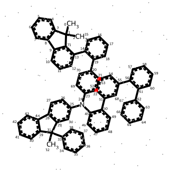 CC1(C)c2ccccc2-c2cccc(-c3ccccc3-c3ccc(N(c4ccc5c(c4)C(C)(c4ccccc4)c4ccccc4-5)c4ccccc4-c4cccc(-c5ccccc5-c5ccccc5)c4)cc3)c21